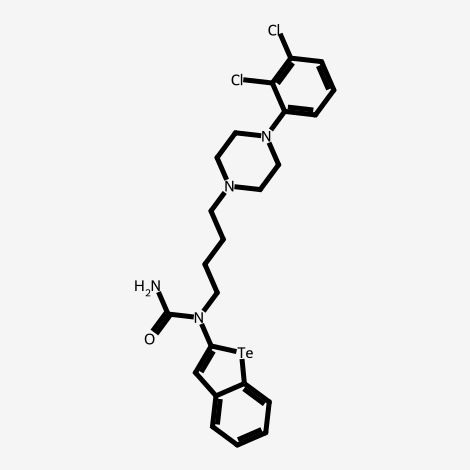 NC(=O)N(CCCCN1CCN(c2cccc(Cl)c2Cl)CC1)c1cc2ccccc2[te]1